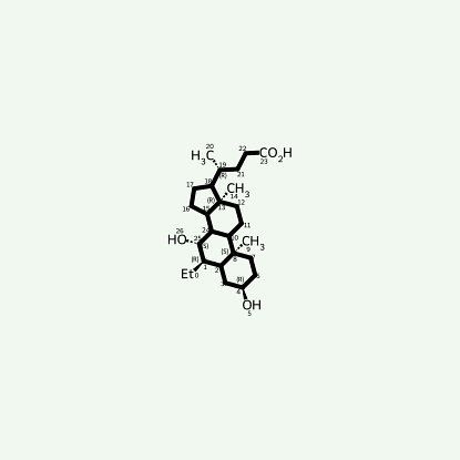 CC[C@@H]1C2C[C@H](O)CC[C@]2(C)C2CC[C@@]3(C)C(CCC3[C@H](C)CCC(=O)O)C2[C@H]1O